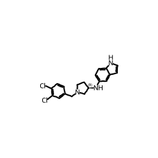 Clc1ccc(CN2CC[C@@H](Nc3ccc4[nH]ccc4c3)C2)cc1Cl